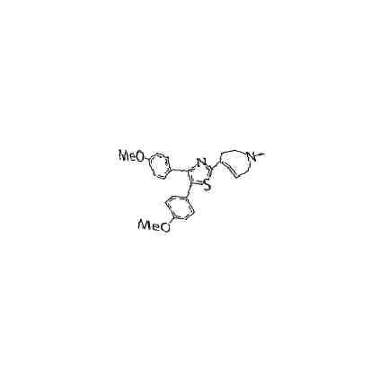 COc1ccc(-c2nc(C3=CCN(C)CC3)sc2-c2ccc(OC)cc2)cc1